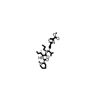 CCCN(C(=O)[C@@H](NC(=O)[C@H]1CCCCN1C)[C@@H](C)CC)[C@H](C#Cc1nc(C(=O)OC)cs1)C(C)C